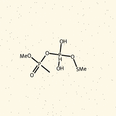 COP(C)(=O)O[PH](O)(O)OSC